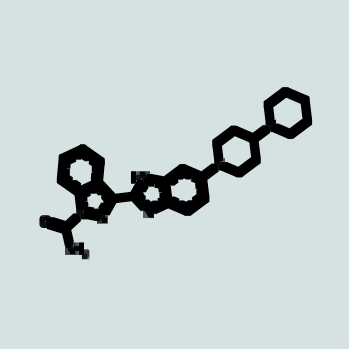 NC(=O)n1nc(-c2nc3ccc(N4CCC(N5CCCCC5)CC4)cc3[nH]2)c2c[c]ccc21